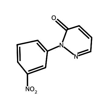 O=c1cccnn1-c1cccc([N+](=O)[O-])c1